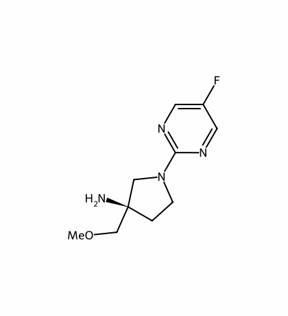 COC[C@@]1(N)CCN(c2ncc(F)cn2)C1